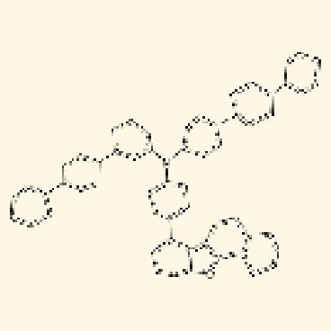 c1ccc(-c2ccc(-c3ccc(N(c4ccc(-c5cccc6oc7c8ccccc8ccc7c56)cc4)c4cccc(-c5ccc(-c6ccccc6)cc5)c4)cc3)cc2)cc1